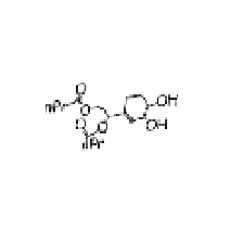 CCCC(=O)OCC(OC(=O)CCC)c1ccc(O)c(O)c1